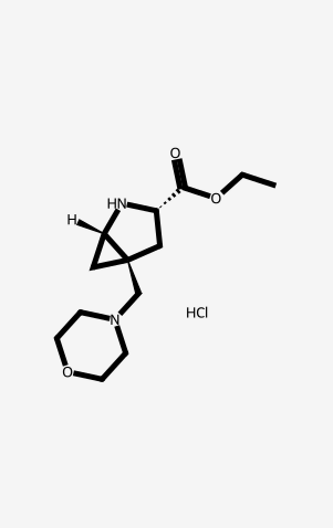 CCOC(=O)[C@@H]1C[C@]2(CN3CCOCC3)C[C@@H]2N1.Cl